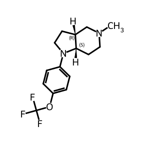 CN1CC[C@H]2[C@H](CCN2c2ccc(OC(F)(F)F)cc2)C1